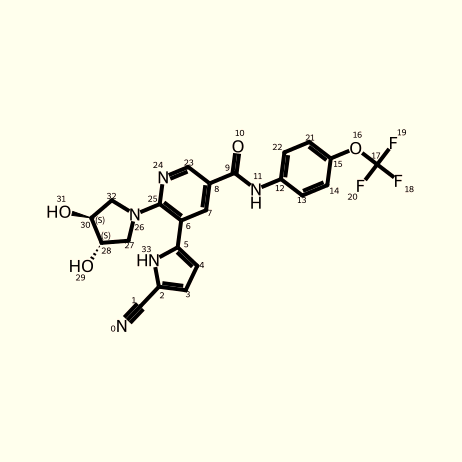 N#Cc1ccc(-c2cc(C(=O)Nc3ccc(OC(F)(F)F)cc3)cnc2N2C[C@H](O)[C@@H](O)C2)[nH]1